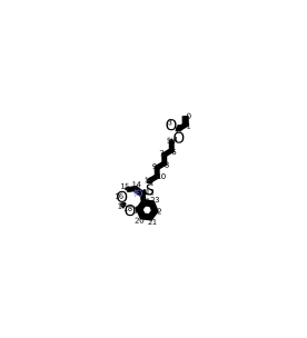 C=CC(=O)OCCCCCCCS/C1=C/COCOc2ccccc21